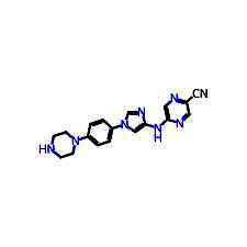 N#Cc1cnc(Nc2cn(-c3ccc(N4CCNCC4)cc3)cn2)cn1